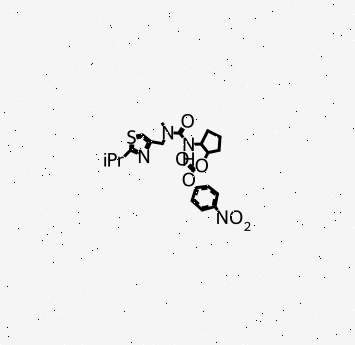 CC(C)c1nc(CN(C)C(=O)NC2CCCC2OC(=O)Oc2ccc([N+](=O)[O-])cc2)cs1